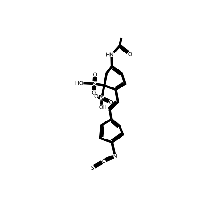 CC(=O)NC1=CC=C(C=Cc2ccc(N=C=S)cc2)C(S(=O)(=O)O)(S(=O)(=O)O)C1